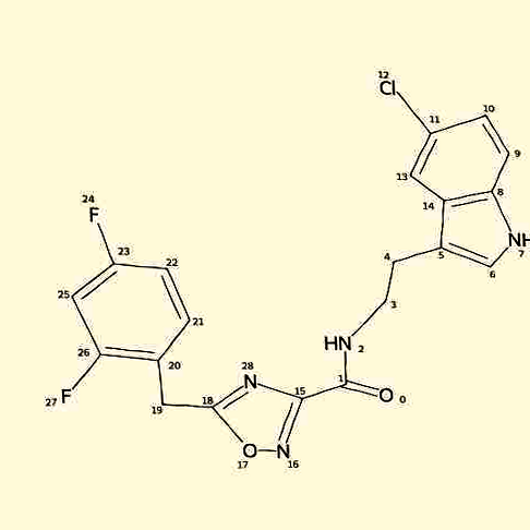 O=C(NCCc1c[nH]c2ccc(Cl)cc12)c1noc(Cc2ccc(F)cc2F)n1